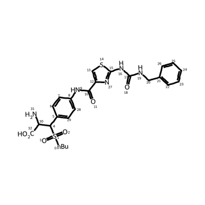 CCCCS(=O)(=O)C(c1ccc(NC(=O)c2csc(NC(=O)NCc3ccccc3)n2)cc1)C(N)C(=O)O